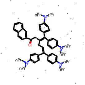 CCCN(CCC)c1ccc(C(=CCC(CC(=O)c2ccc3ccccc3c2)=C(c2ccc(N(CCC)CCC)cc2)c2ccc(N(CCC)CCC)cc2)c2ccc(N(CCC)CCC)cc2)cc1